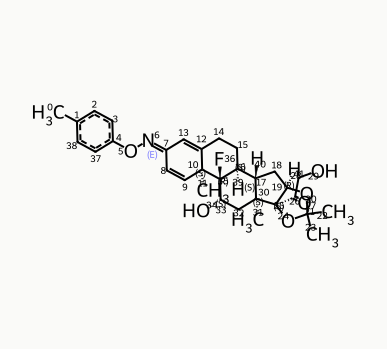 Cc1ccc(O/N=C2\C=C[C@@]3(C)C(=C2)CC[C@H]2[C@@H]4C[C@H]5OC(C)(C)O[C@@]5(C(=O)CO)[C@@]4(C)C[C@H](O)[C@@]23F)cc1